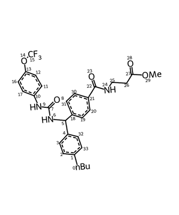 CCCCc1ccc(C(NC(=O)Nc2ccc(OC(F)(F)F)cc2)c2ccc(C(=O)NCCC(=O)OC)cc2)cc1